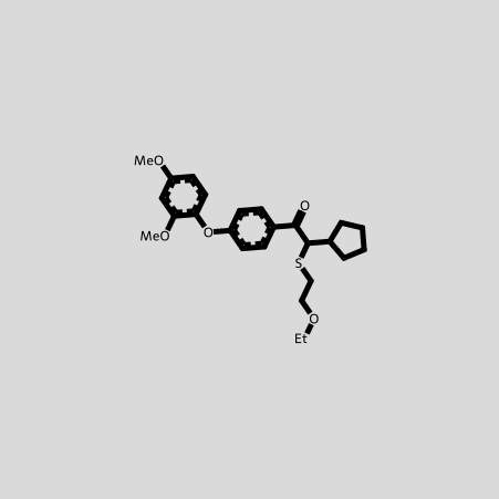 CCOCCSC(C(=O)c1ccc(Oc2ccc(OC)cc2OC)cc1)C1CCCC1